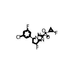 O=S(=O)(c1nc2n(n1)[C@H](c1cc(F)cc(Cl)c1)C[C@@H]2F)[C@@H]1C[C@H]1F